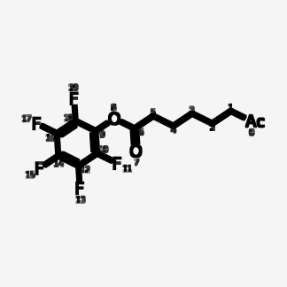 CC(=O)CCCCCC(=O)Oc1c(F)c(F)c(F)c(F)c1F